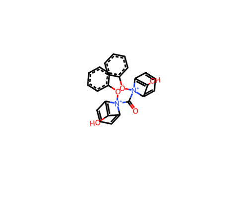 O=C([N+]1(Oc2ccccc2)C2=CC=CC1=C2O)[N+]1(Oc2ccccc2)C2=CC=CC1=C2O